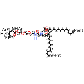 CCCCC/C=C\C/C=C\CCCCCCCCC1(CCCCCCCC/C=C\C/C=C\CCCCC)OC[C@H](CN(C)CC(=O)NCCOCCOCCO[C@@H]2OCC(CC)[C@H](C)C(OC(C)=O)C2NC(C)=O)O1